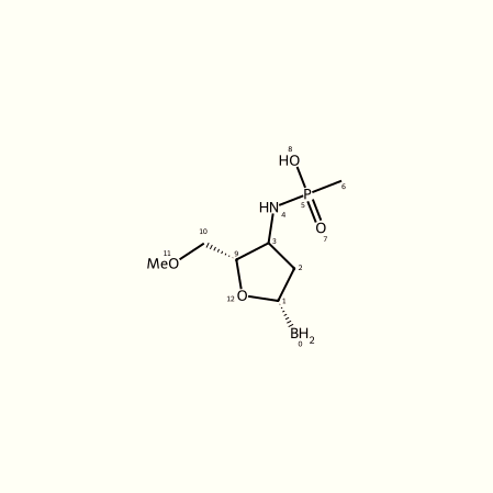 B[C@H]1CC(NP(C)(=O)O)[C@@H](COC)O1